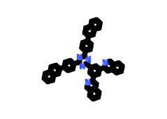 c1ccc2cc(-c3ccc(-c4nc(-c5ccc(-c6ccc7ccccc7c6)cc5)nc(-c5cc(-c6cc7ccccc7cn6)cc(-c6cc7ccccc7cn6)c5)n4)cc3)ccc2c1